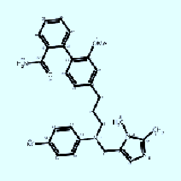 COc1cc(CCCN(Cc2cnc(C)n2C)c2ccc(C#N)cc2)ccc1-c1ccccc1C(N)=O